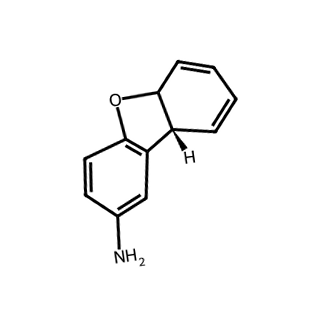 Nc1ccc2c(c1)[C@H]1C=CC=CC1O2